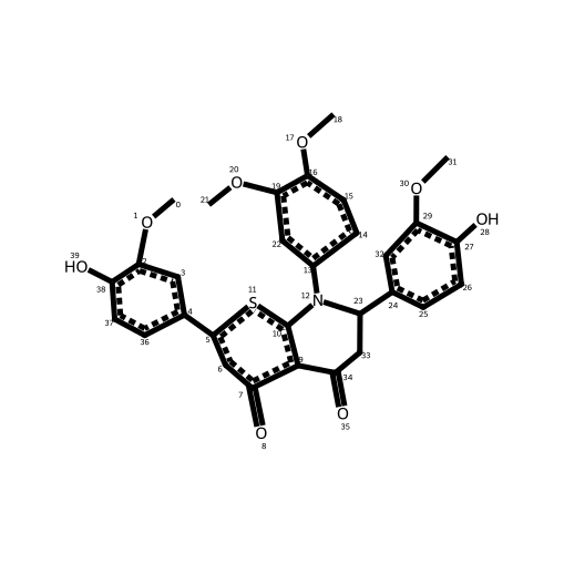 COc1cc(-c2cc(=O)c3c(s2)N(c2ccc(OC)c(OC)c2)C(c2ccc(O)c(OC)c2)CC3=O)ccc1O